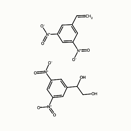 C=Cc1cc([N+](=O)[O-])cc([N+](=O)[O-])c1.O=[N+]([O-])c1cc(C(O)CO)cc([N+](=O)[O-])c1